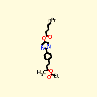 CCC/C=C/CCC(=O)Oc1cnc(-c2ccc(CCC(C)OC(=O)CC)cc2)nc1